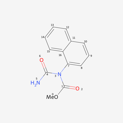 COC(=O)N(C(N)=O)c1cccc2ccccc12